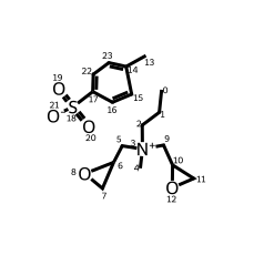 CCC[N+](C)(CC1CO1)CC1CO1.Cc1ccc(S(=O)(=O)[O-])cc1